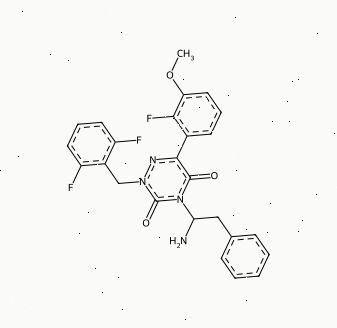 COc1cccc(-c2nn(Cc3c(F)cccc3F)c(=O)n(C(N)Cc3ccccc3)c2=O)c1F